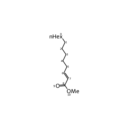 CCCCCCCCCCCC=CC(=O)OC